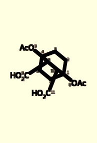 CC(=O)OC12CCC(OC(C)=O)(CC1)C(C(=O)O)C2C(=O)O